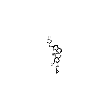 Fc1cc(OCC2CC2)c(Cl)cc1Nc1ncnc2ccc(O[C@H]3CCNC3)nc12